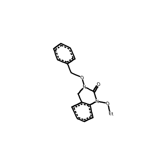 CCON1C(=O)N(OCc2ccccc2)Cc2ccccc21